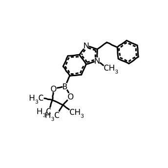 Cn1c(Cc2ccccc2)nc2ccc(B3OC(C)(C)C(C)(C)O3)cc21